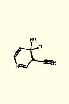 N#CC1C=NC=CC1(N)Cl